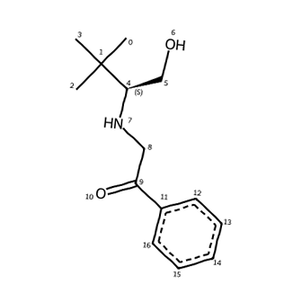 CC(C)(C)[C@@H](CO)NCC(=O)c1ccccc1